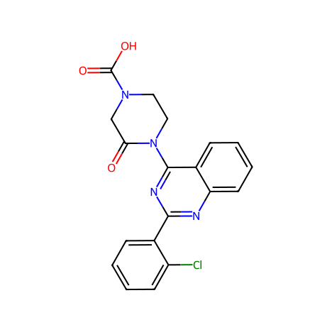 O=C(O)N1CCN(c2nc(-c3ccccc3Cl)nc3ccccc23)C(=O)C1